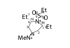 CC[C@@H]1C[C@@H](NC)C[C@H](CC)N1S(=O)(=O)CC